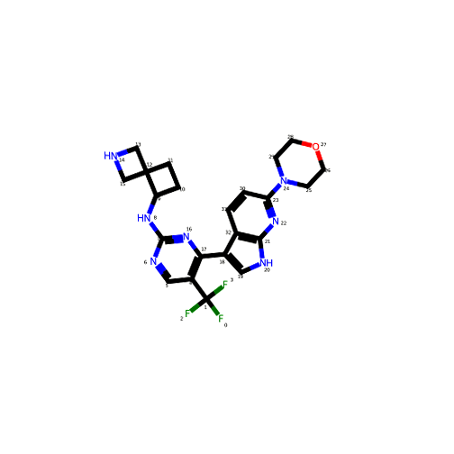 FC(F)(F)c1cnc(NC2CCC23CNC3)nc1-c1c[nH]c2nc(N3CCOCC3)ccc12